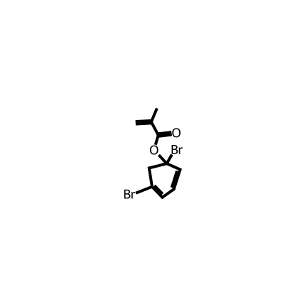 C=C(C)C(=O)OC1(Br)C=CC=C(Br)C1